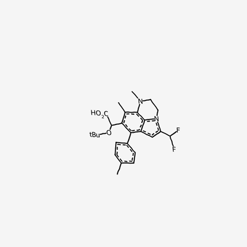 Cc1ccc(-c2c(C(OC(C)(C)C)C(=O)O)c(C)c3c4c2cc(C(F)F)n4CCN3C)cc1